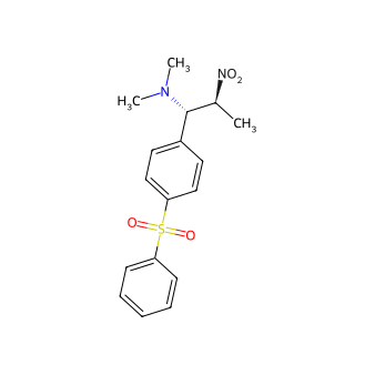 C[C@@H]([C@H](c1ccc(S(=O)(=O)c2ccccc2)cc1)N(C)C)[N+](=O)[O-]